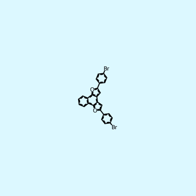 Brc1ccc(-c2cc3c4cc(-c5ccc(Br)cc5)oc4c4ccccc4c3o2)cc1